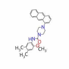 COc1cc(C)c(C)cc1NC(=O)N1CCN(c2cccc3cc4ccccc4cc23)CC1